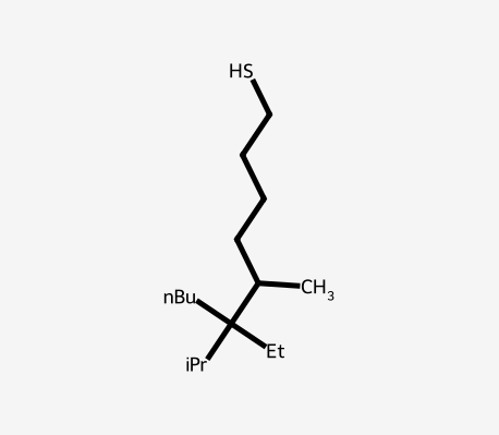 CCCCC(CC)(C(C)C)C(C)CCCCS